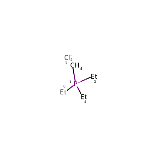 CC[P+](C)(CC)CC.[Cl-]